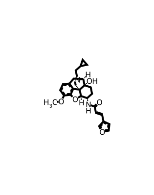 COc1ccc2c3c1O[C@@H]1[C@@H](NC(=O)/C=C/c4ccoc4)CC[C@]4(O)[C@H](C2)N(CC2CC2)CC[C@@]314